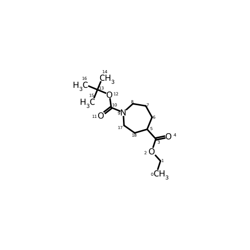 CCOC(=O)C1CCCN(C(=O)OC(C)(C)C)CC1